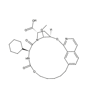 COC1[C@H]2C[C@@H](C(=O)O)N1C(=O)[C@H](C1CCCCC1)NC(=O)OCCCCCc1ccc3ccnc(c3c1)O2